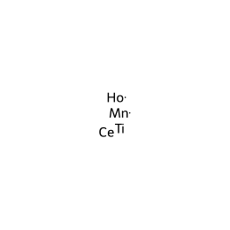 [Ce].[Ho].[Mn].[Ti]